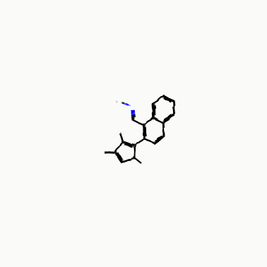 CC1=CC(C)C(c2ccc3ccccc3c2C=NC(C)(C)C)=C1C